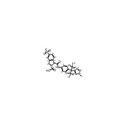 Cn1nnc(C(c2ccc(NC(=O)C3c4ccc(S(C)(=O)=O)cc4CN3C(=O)O)cc2)(C(F)(F)F)C(F)(F)F)n1